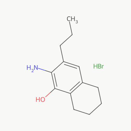 Br.CCCc1cc2c(c(O)c1N)CCCC2